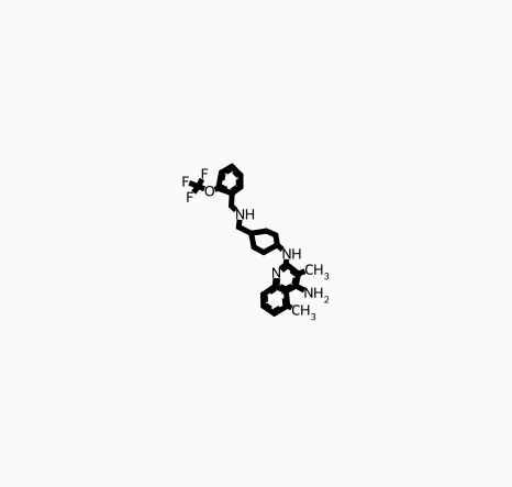 Cc1c(NC2CCC(CNCc3ccccc3OC(F)(F)F)CC2)nc2cccc(C)c2c1N